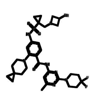 Cc1cc(NC(=O)c2ccc(NS(=O)(=O)C3(CN4CC(O)C4)CC3)cc2N2CCC3(CC2)CC3)nc(N2CCC(F)(F)CC2)n1